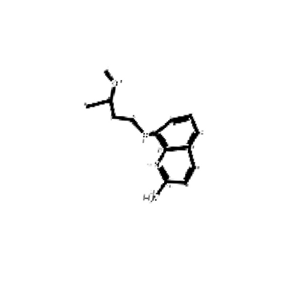 COC(C)CCOc1cccc2ccc(N)nc12